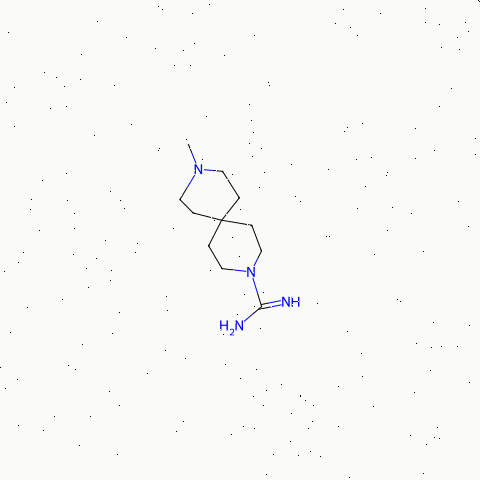 CN1CCC2(CC1)CCN(C(=N)N)CC2